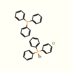 CC[P+](c1ccccc1)(c1ccccc1)c1ccccc1.[Cl-].c1ccc(P(c2ccccc2)c2ccccc2)cc1